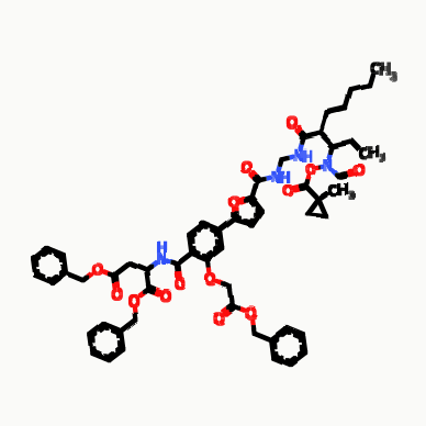 CCCCCC(C(=O)NCNC(=O)c1ccc(-c2ccc(C(=O)NC(CC(=O)OCc3ccccc3)C(=O)OCc3ccccc3)c(OCC(=O)OCc3ccccc3)c2)o1)C(CC)N(C=O)OC(=O)C1(C)CC1